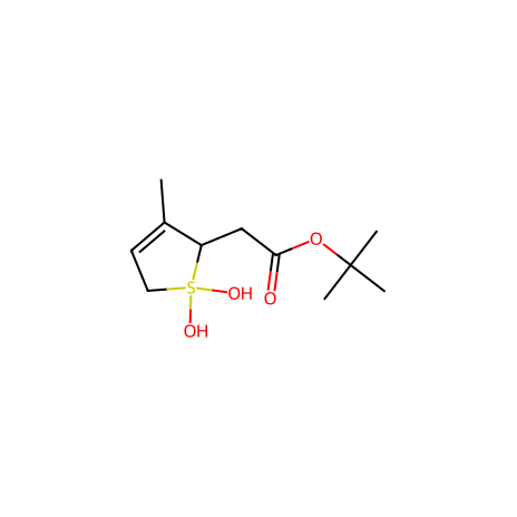 CC1=CCS(O)(O)C1CC(=O)OC(C)(C)C